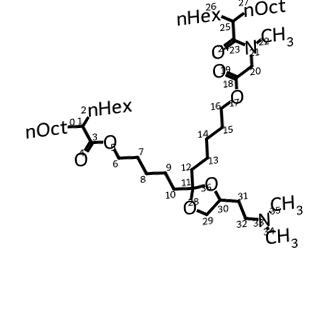 CCCCCCCCC(CCCCCC)C(=O)OCCCCCC1(CCCCCOC(=O)CN(C)C(=O)C(CCCCCC)CCCCCCCC)OCC(CCN(C)C)O1